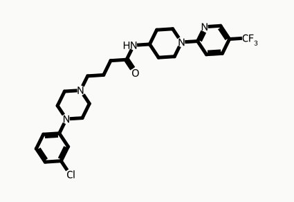 O=C(CCCN1CCN(c2cccc(Cl)c2)CC1)NC1CCN(c2ccc(C(F)(F)F)cn2)CC1